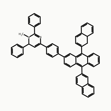 CN1C(c2ccccc2)=NC(c2ccc(-c3ccc4c(-c5ccc6ccccc6c5)c5ccccc5c(C5=CC=C6C=CC=CC6C5)c4c3)cc2)=CC1c1ccccc1